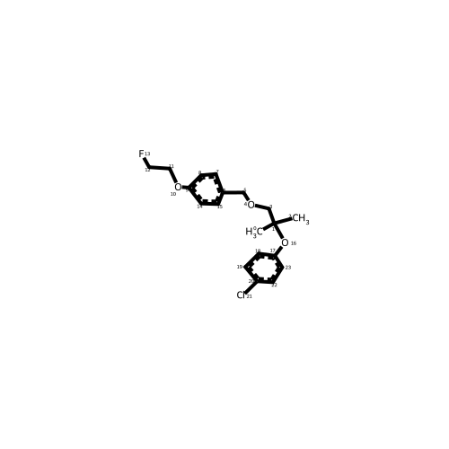 CC(C)(COCc1ccc(OCCF)cc1)Oc1ccc(Cl)cc1